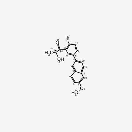 COc1ccc2cc(-c3ccc(F)c(C(=O)C(C)O)c3)ccc2c1